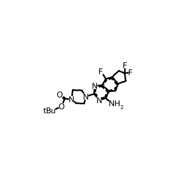 CC(C)(C)OC(=O)N1CCN(c2nc(N)c3cc4c(c(F)c3n2)CC(F)(F)C4)CC1